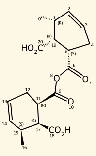 C[C@@H]1C=CC[C@H](C(=O)OC(=O)[C@@H]2CC=C[C@H](C)[C@@H]2C(=O)O)[C@@H]1C(=O)O